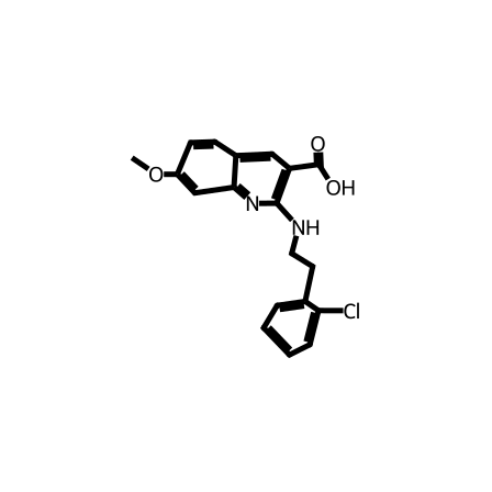 COc1ccc2cc(C(=O)O)c(NCCc3ccccc3Cl)nc2c1